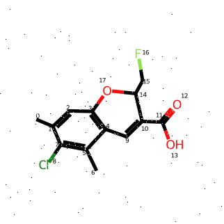 Cc1cc2c(c(C)c1Cl)C=C(C(=O)O)C(CF)O2